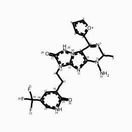 CC1N=C(c2ccco2)c2c(nc3n(CCc4cc(C(F)(F)F)c[nH]c4=O)c(=O)[nH]n23)N1N